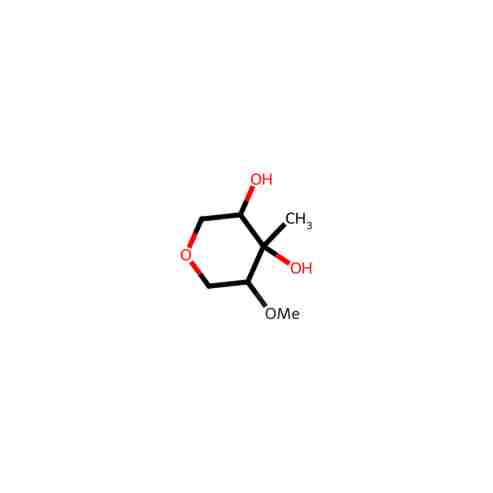 COC1COCC(O)C1(C)O